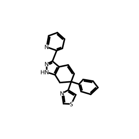 C1=CC(c2ccccc2)(c2cscn2)Cc2[nH]nc(-c3ccccn3)c21